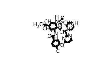 COc1c(NC(=O)c2ccc(Cl)c(Oc3ccnc(CN4CCNCC4)n3)c2)cc(C(C)(C)C)cc1NS(C)(=O)=O